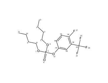 CCCCOP(=O)(OCCCC)Oc1ccc(F)c(C(F)(F)F)c1